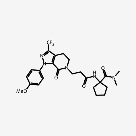 COc1ccc(-n2nc(C(F)(F)F)c3c2C(=O)N(CCC(=O)NC2(C(=O)N(C)C)CCCC2)CC3)cc1